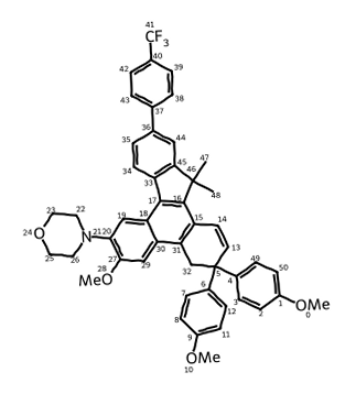 COc1ccc(C2(c3ccc(OC)cc3)C=Cc3c4c(c5cc(N6CCOCC6)c(OC)cc5c3C2)-c2ccc(-c3ccc(C(F)(F)F)cc3)cc2C4(C)C)cc1